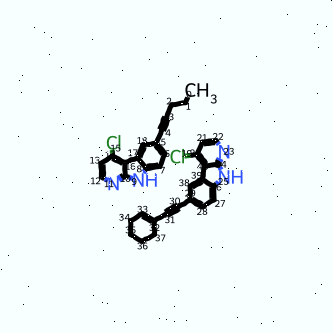 CCCC#Cc1ccc2[nH]c3nccc(Cl)c3c2c1.Clc1ccnc2[nH]c3ccc(C#CC4=CCCCC4)cc3c12